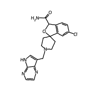 NC(=O)C1OC2(CCN(Cc3c[nH]c4nccnc34)CC2)c2cc(Cl)ccc21